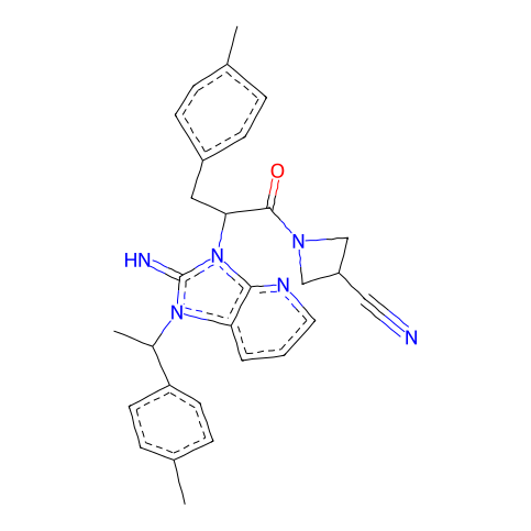 Cc1ccc(CC(C(=O)N2CC(C#N)C2)n2c(=N)n(C(C)c3ccc(C)cc3)c3cccnc32)cc1